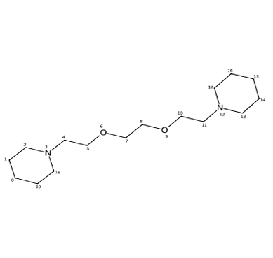 C1CCN(CCOCCOCCN2CCCCC2)CC1